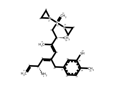 C=C[C@@H](N)/C=C(/C=C(\C)[C@@H](C)CP(=C)(N1CC1)N1CC1)Cc1ccc(C)c(S)c1